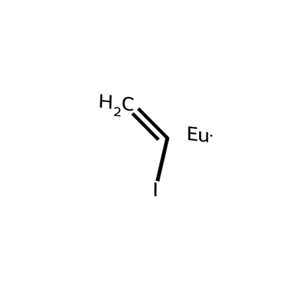 C=CI.[Eu]